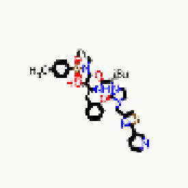 CC[C@H](C)[C@@H](C(=O)N[C@@H](Cc1ccccc1)[C@H](O)CN(CC(C)C)S(=O)(=O)c1ccc(C)cc1)N1CCN(Cc2csc(-c3cccnc3)n2)C1=O